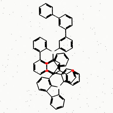 c1ccc(-c2cccc(-c3cccc(N(c4cccc(-c5ccccc5)c4)c4ccccc4-c4cccc5c4-c4ccccc4C54c5ccccc5-n5c6ccccc6c6cccc4c65)c3)c2)cc1